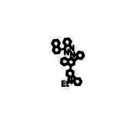 CCn1c2ccccc2c2cc(-c3cc4c5ccccc5n(-c5nc(-c6cccc7ccccc67)c6ccccc6n5)c4c4ccccc34)ccc21